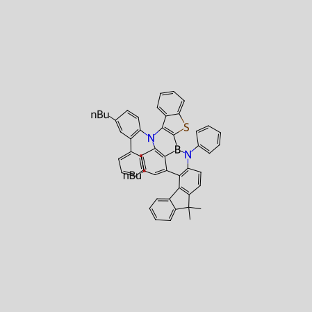 CCCCc1ccc(N2c3cc(CCCC)cc4c3B(c3sc5ccccc5c32)N(c2ccccc2)c2ccc3c(c2-4)-c2ccccc2C3(C)C)c(-c2ccccc2)c1